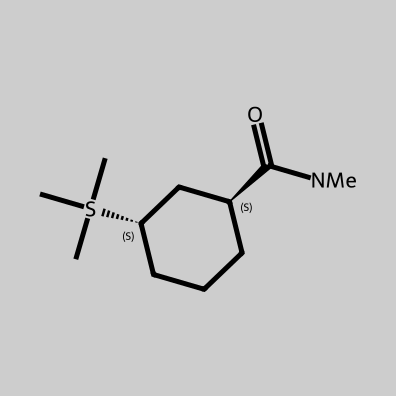 CNC(=O)[C@H]1CCC[C@H](S(C)(C)C)C1